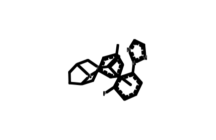 Cc1cc(C)cc(N2C3CCC2CN(C(=O)c2c(F)cccc2-n2nccn2)C3)c1